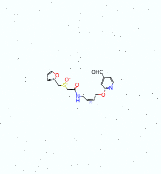 O=Cc1ccnc(OC/C=C\CNC(=O)C[S+]([O-])Cc2ccco2)c1